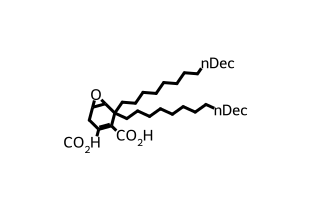 CCCCCCCCCCCCCCCCCCC1(CCCCCCCCCCCCCCCCCC)C(C(=O)O)=C(C(=O)O)CC2OC21